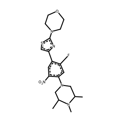 CC1CN(c2cc(F)c(-c3csc(N4CCOCC4)n3)cc2[N+](=O)[O-])CC(C)N1C